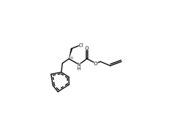 C=CCOC(=O)N[C@H](CCl)Cc1ccccc1